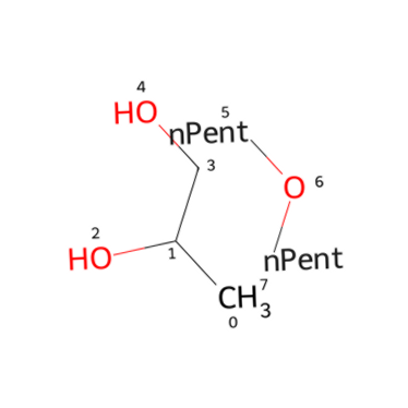 CC(O)CO.CCCCCOCCCCC